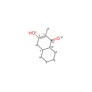 CC1=C(O)CC2CCCCC2C1=O